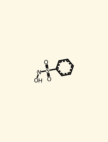 O=S(=O)([N]O)c1ccccc1